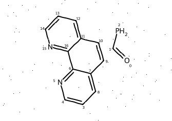 O=CP.c1cnc2c(c1)ccc1cccnc12